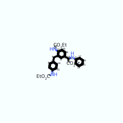 CCOC(=O)Nc1ccc(Cc2cc(C(Nc3ccccc3)C(=O)OCC)ccc2NC(=O)OCC)cc1